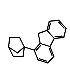 c1ccc2c(c1)Cc1c-2cccc1C12CCC(CC1)C2